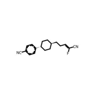 N#CC(F)=CCC[C@H]1CC[C@H](c2ccc(C#N)cc2)CC1